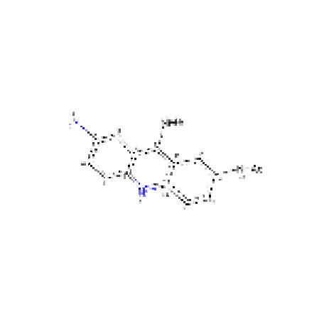 CNc1c2cc(N)ccc2nc2ccc(NC(C)=O)cc12